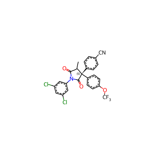 CC1C(=O)N(c2cc(Cl)cc(Cl)c2)C(=O)[C@@]1(c1ccc(C#N)cc1)c1ccc(OC(F)(F)F)cc1